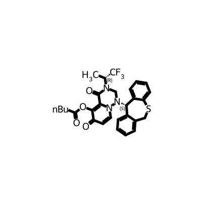 CCCCC(=O)Oc1c2n(ccc1=O)N([C@H]1c3ccccc3CSc3ccccc31)CN([C@H](C)C(F)(F)F)C2=O